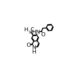 CCc1cc2c(=O)[nH]ccc2cc1NC(=O)Cc1ccccc1